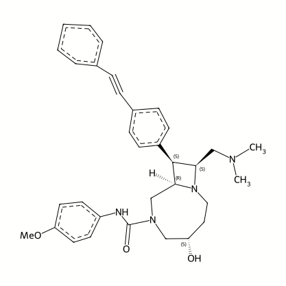 COc1ccc(NC(=O)N2C[C@@H](O)CCN3[C@H](CN(C)C)[C@H](c4ccc(C#Cc5ccccc5)cc4)[C@@H]3C2)cc1